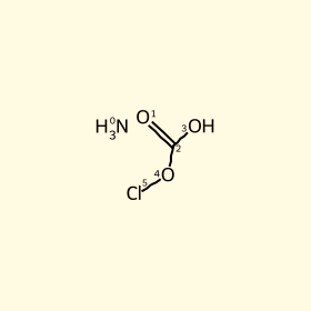 N.O=C(O)OCl